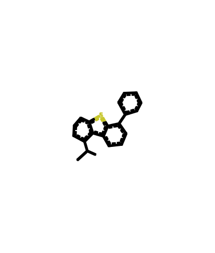 CC(C)c1cccc2sc3c(-c4ccccc4)cccc3c12